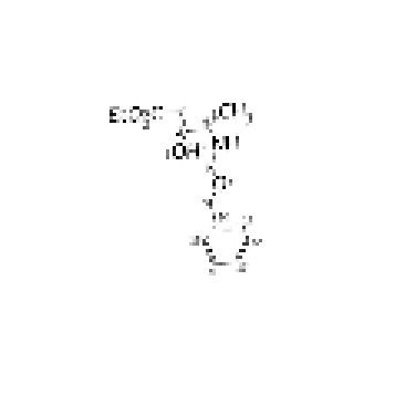 CCOC(=O)CC(O)C(C)NCOCc1ccccc1